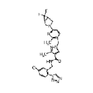 Cc1nc(N2CC3C(C2)C3(F)F)ccc1Cn1cc(C(=O)NCc2cc(Cl)ccc2-n2cnnn2)c(C)n1